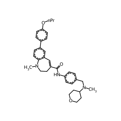 CCCOc1ccc(-c2ccc3c(c2)C=C(C(=O)Nc2ccc(CN(C)C4CCOCC4)cc2)CCN3C)cc1